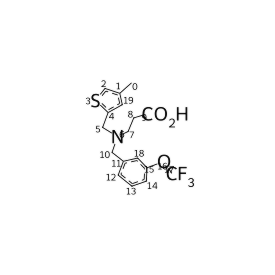 Cc1csc(CN(CCC(=O)O)Cc2cccc(OC(F)(F)F)c2)c1